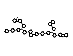 c1ccc(-c2ccc(-c3ccc(N(c4cccc(-c5ccc6sc7ccccc7c6c5)c4)c4cccc(-c5cccc6c(-c7ccc(-c8ccc(-c9ccc(N(c%10cccc(-c%11ccc%12c(c%11)sc%11ccccc%11%12)c%10)c%10cccc(-c%11cccc%12ccccc%11%12)c%10)cc9)cc8)cc7)cccc56)c4)cc3)cc2)cc1